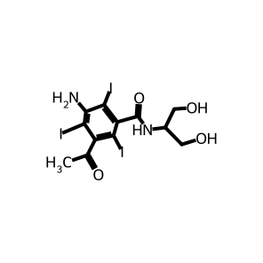 CC(=O)c1c(I)c(N)c(I)c(C(=O)NC(CO)CO)c1I